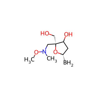 B[C@H]1CC(O)[C@](CO)(CN(C)OC)O1